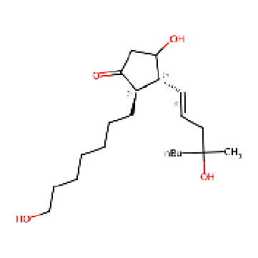 CCCCC(C)(O)C/C=C/[C@H]1C(O)CC(=O)[C@@H]1CCCCCCCO